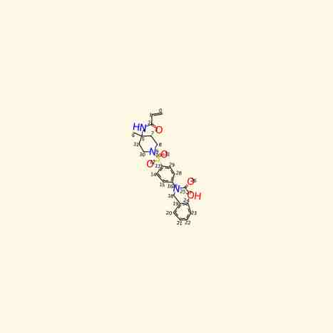 C=CC(=O)NC1(C)CCN(S(=O)(=O)c2ccc(N(Cc3ccccc3)C(=O)O)cc2)CC1